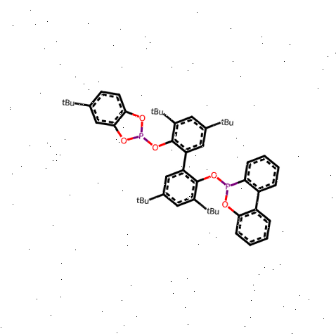 CC(C)(C)c1ccc2c(c1)OP(Oc1c(-c3cc(C(C)(C)C)cc(C(C)(C)C)c3OP3Oc4ccccc4-c4ccccc43)cc(C(C)(C)C)cc1C(C)(C)C)O2